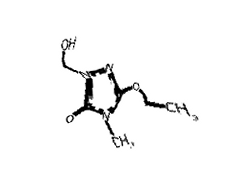 CCOc1nn(CO)c(=O)n1C